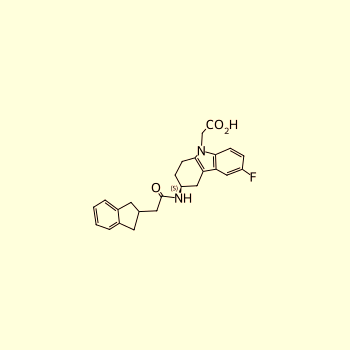 O=C(O)Cn1c2c(c3cc(F)ccc31)C[C@@H](NC(=O)CC1Cc3ccccc3C1)CC2